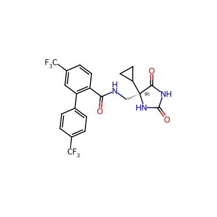 O=C1NC(=O)[C@](CNC(=O)c2ccc(C(F)(F)F)cc2-c2ccc(C(F)(F)F)cc2)(C2CC2)N1